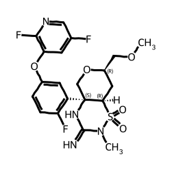 COC[C@H]1C[C@@H]2[C@](c3cc(Oc4cc(F)cnc4F)ccc3F)(CO1)NC(=N)N(C)S2(=O)=O